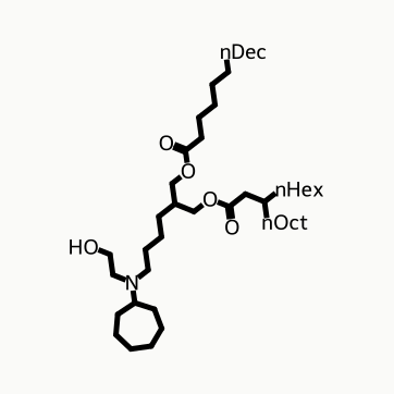 CCCCCCCCCCCCCCCC(=O)OCC(CCCCN(CCO)C1CCCCCC1)COC(=O)CC(CCCCCC)CCCCCCCC